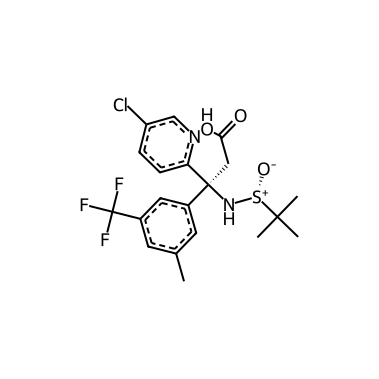 Cc1cc(C(F)(F)F)cc([C@](CC(=O)O)(N[S@+]([O-])C(C)(C)C)c2ccc(Cl)cn2)c1